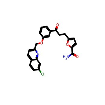 NC(=O)c1ccc(CCC(=O)c2cccc(OCc3ccc4ccc(Cl)cc4n3)c2)o1